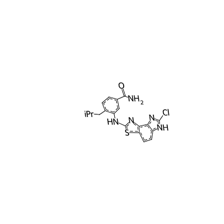 CC(C)Cc1ccc(C(N)=O)cc1Nc1nc2c(ccc3[nH]c(Cl)nc32)s1